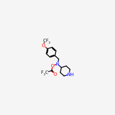 O=C(ON(Cc1ccc(OC(F)(F)F)cc1)C1CCNCC1)C(F)(F)F